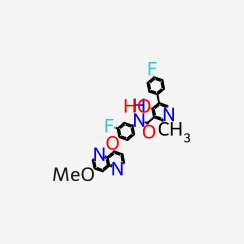 COc1cnc2c(Oc3ccc(NC(=O)c4c(C)ncc(-c5ccc(F)cc5)c4O)cc3F)ccnc2c1